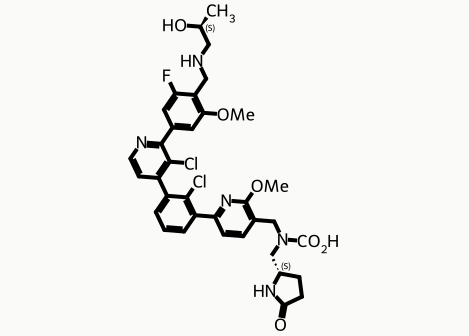 COc1cc(-c2nccc(-c3cccc(-c4ccc(CN(C[C@@H]5CCC(=O)N5)C(=O)O)c(OC)n4)c3Cl)c2Cl)cc(F)c1CNC[C@H](C)O